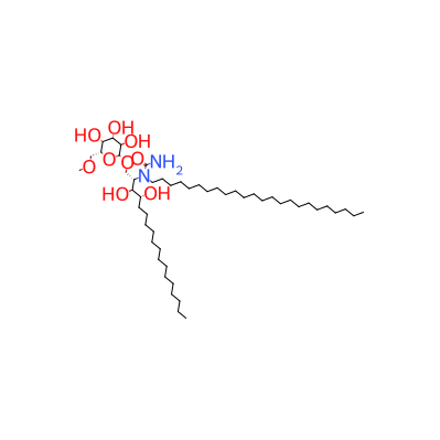 CCCCCCCCCCCCCCCCCCCCCCCCN(C(N)=O)[C@@H](CO[C@@H]1O[C@H](COC)[C@H](O)[C@H](O)[C@H]1O)[C@H](O)[C@H](O)CCCCCCCCCCCCCC